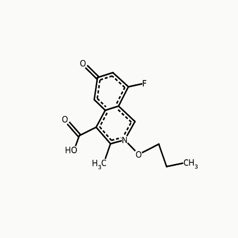 CCCOn1cc2c(F)cc(=O)cc-2c(C(=O)O)c1C